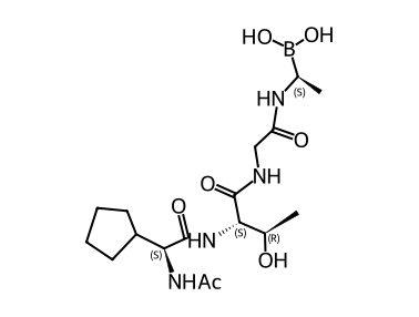 CC(=O)N[C@H](C(=O)N[C@H](C(=O)NCC(=O)N[C@H](C)B(O)O)[C@@H](C)O)C1CCCC1